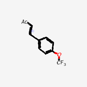 CC(=O)/C=C/c1ccc(OC(F)(F)F)cc1